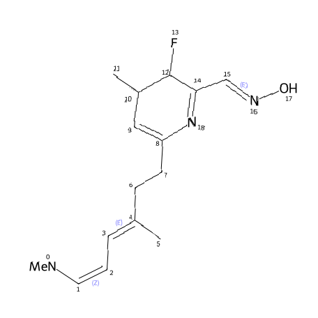 CN/C=C\C=C(/C)CCC1=CC(C)C(F)C(/C=N/O)=N1